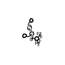 O=C(c1cc(C(F)(F)F)cc(C(F)(F)F)c1)N1CCC(N2CCN(Cc3ccccc3)CC2)CC1Cc1ccccc1